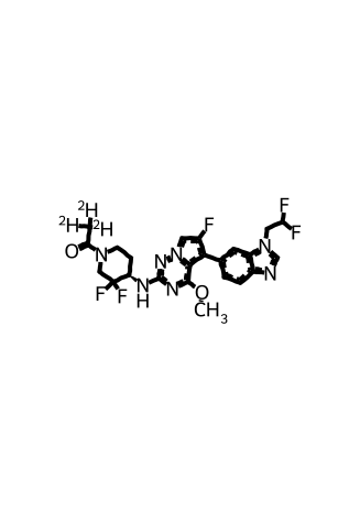 [2H]C([2H])([2H])C(=O)N1CC[C@@H](Nc2nc(OC)c3c(-c4ccc5ncn(CC(F)F)c5c4)c(F)cn3n2)C(F)(F)C1